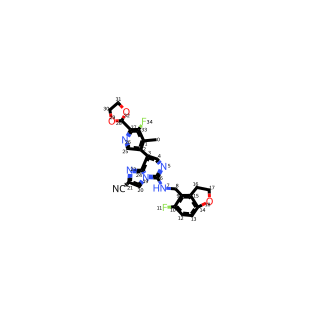 Cc1c(-c2cnc(NCc3c(F)ccc4c3CCO4)n3cc(C#N)nc23)cnc(C2OCCO2)c1F